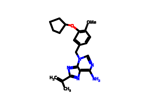 C=C(C)c1nc2c(N)ncn(Cc3ccc(OC)c(OC4CCCC4)c3)c-2n1